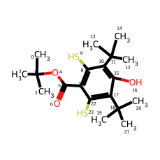 CC(C)(C)OC(=O)c1c(S)c(C(C)(C)C)c(O)c(C(C)(C)C)c1S